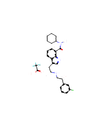 C[C@H](Cc1c[nH]c2c(C(=O)N(C)C3CCCCC3)cccc12)NC[C@H](O)c1cccc(Cl)c1.O=C(O)C(F)(F)F